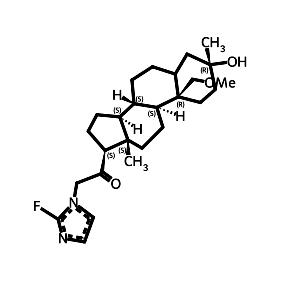 COC[C@]12CC[C@@](C)(O)CC1CC[C@@H]1[C@@H]2CC[C@]2(C)[C@@H](C(=O)Cn3ccnc3F)CC[C@@H]12